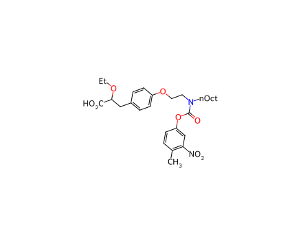 CCCCCCCCN(CCOc1ccc(CC(OCC)C(=O)O)cc1)C(=O)Oc1ccc(C)c([N+](=O)[O-])c1